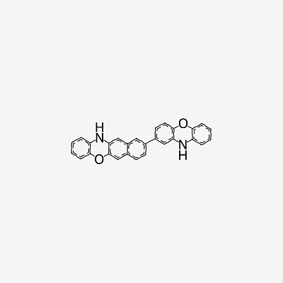 c1ccc2c(c1)Nc1cc(-c3ccc4cc5c(cc4c3)Nc3ccccc3O5)ccc1O2